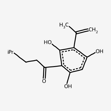 C=C(C)c1c(O)cc(O)c(C(=O)CCC(C)C)c1O